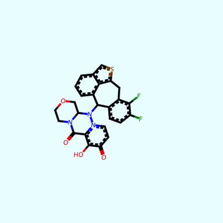 O=C1c2c(O)c(=O)ccn2N(C2c3ccc(F)c(F)c3Cc3scc4cccc2c34)C2COCCN12